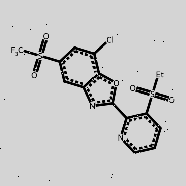 CCS(=O)(=O)c1cccnc1-c1nc2cc(S(=O)(=O)C(F)(F)F)cc(Cl)c2o1